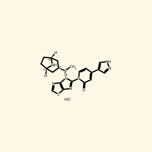 CN([C@@H]1C[C@H]2CC[C@@H](C1)N2)[SH]1C(n2ccc(-c3cn[nH]c3)cc2=O)=Nc2scnc21.Cl